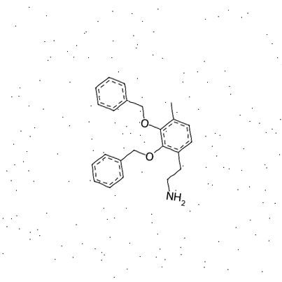 Cc1ccc(CCN)c(OCc2ccccc2)c1OCc1ccccc1